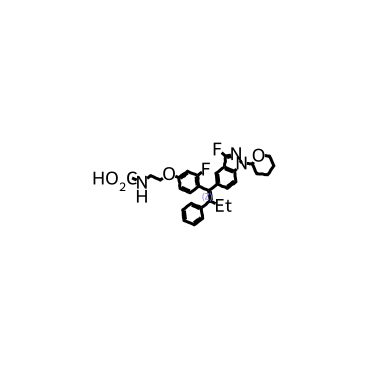 CC/C(=C(\c1ccc2c(c1)c(F)nn2C1CCCCO1)c1ccc(OCCNC(=O)O)cc1F)c1ccccc1